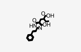 CCC(Cc1c(O)nc(/C=C/c2ccccc2)[nH]c1=O)C(=O)O